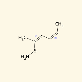 C/C=C\C=C(\C)SN